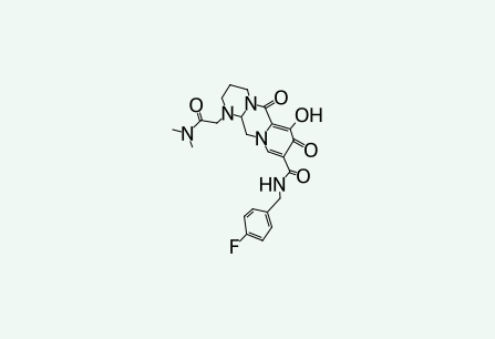 CN(C)C(=O)CN1CCCN2C(=O)c3c(O)c(=O)c(C(=O)NCc4ccc(F)cc4)cn3CC12